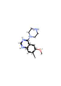 COc1cc2c(N3CCNCC3)ncnc2cc1C